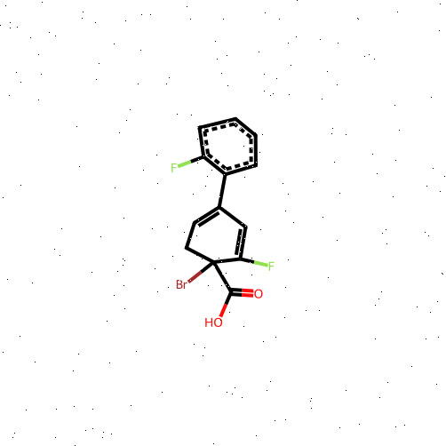 O=C(O)C1(Br)CC=C(c2ccccc2F)C=C1F